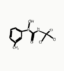 Cc1cccc(N(O)C(=O)NC(Cl)(Cl)Cl)c1